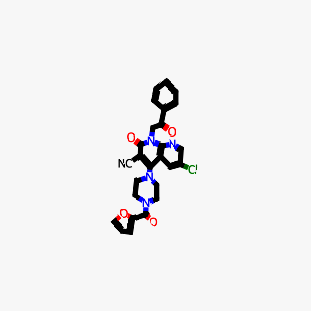 N#Cc1c(N2CCN(C(=O)c3ccco3)CC2)c2cc(Cl)cnc2n(CC(=O)c2ccccc2)c1=O